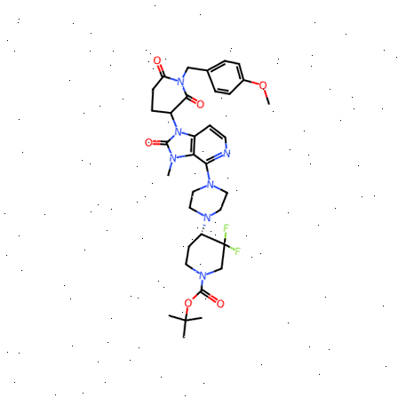 COc1ccc(CN2C(=O)CCC(n3c(=O)n(C)c4c(N5CCN([C@H]6CCN(C(=O)OC(C)(C)C)CC6(F)F)CC5)nccc43)C2=O)cc1